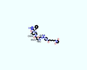 CC[C@H](C)[C@@H]([C@@H](CC(=O)N1CCC[C@H]1[C@H](OC)[C@@H](C)C(=O)N[C@@H](Cc1ccccc1)c1nn[nH]n1)OC)N(C)C(=O)[C@@H](N=C(N(C)C)N1CCN(C(=O)CCCCCN2C(=O)C=CC2=O)CC1)C(C)C